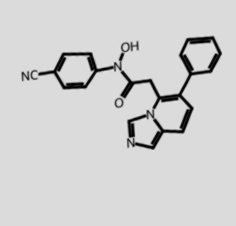 N#Cc1ccc(N(O)C(=O)Cc2c(-c3ccccc3)ccc3cncn23)cc1